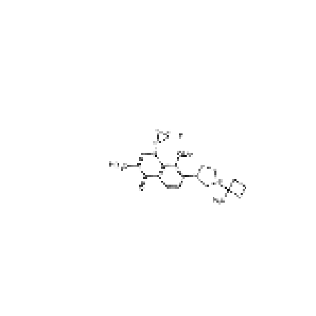 COc1c(N2CC[C@@H](C3(N)CCC3)C2)ccc2c(=O)c(C(=O)O)cn([C@@H]3C[C@@H]3F)c12